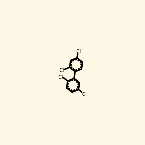 Clc1[c]cc(Cl)c(-c2ccc(Cl)cc2Cl)c1